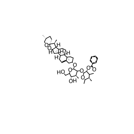 CC1O[C@@H](OC2[C@H](O[C@H]3CC[C@@]4(C)C(=CC[C@H]5[C@@H]6C[C@@H]7O[C@]8(CC[C@@H](C)CO8)[C@@H](C)[C@@H]7[C@@]6(C)CC[C@@H]54)C3)OC(CO)[C@@H](O)[C@@H]2C)[C@@H](OC(=O)c2ccccc2)C(C)[C@H]1C